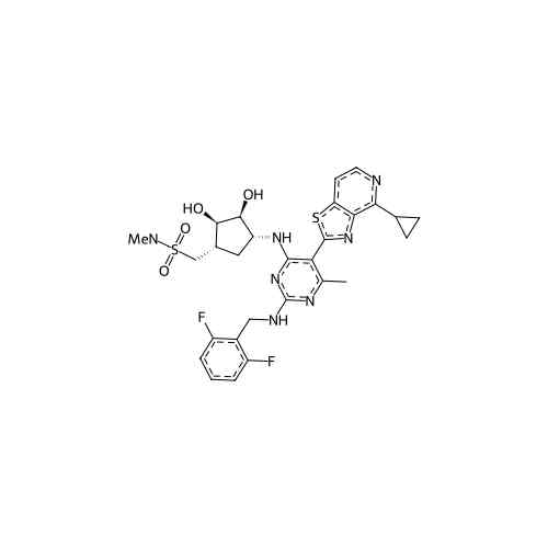 CNS(=O)(=O)C[C@H]1C[C@@H](Nc2nc(NCc3c(F)cccc3F)nc(C)c2-c2nc3c(C4CC4)nccc3s2)[C@H](O)[C@@H]1O